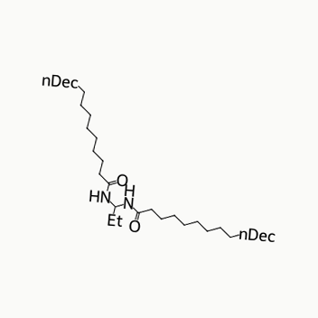 CCCCCCCCCCCCCCCCCCC(=O)NC(CC)NC(=O)CCCCCCCCCCCCCCCCCC